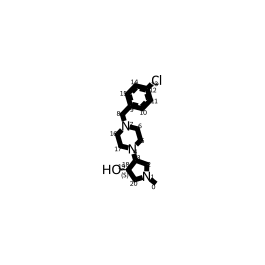 CN1CC(N2CCN(Cc3ccc(Cl)cc3)CC2)[C@@H](O)C1